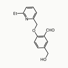 CCc1cccc(COc2ccc(CO)cc2C=O)n1